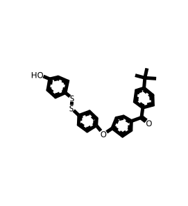 CC(C)(C)c1ccc(C(=O)c2ccc(Oc3ccc(SSc4ccc(O)cc4)cc3)cc2)cc1